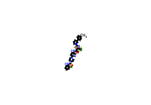 Cc1ccc(C2CCCN(c3nc(C(F)(F)F)c(C(=O)Nc4ccc(N5CCN(C(=O)Nc6ccccc6F)CC5)nc4)o3)C2)cc1